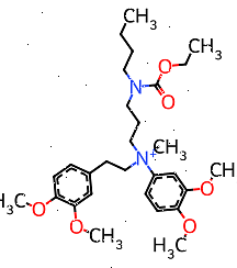 CCCCN(CCC[N+](C)(CCc1ccc(OC)c(OC)c1)c1ccc(OC)c(OC)c1)C(=O)OCC